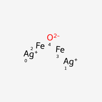 [Ag+].[Ag+].[Fe].[Fe].[O-2]